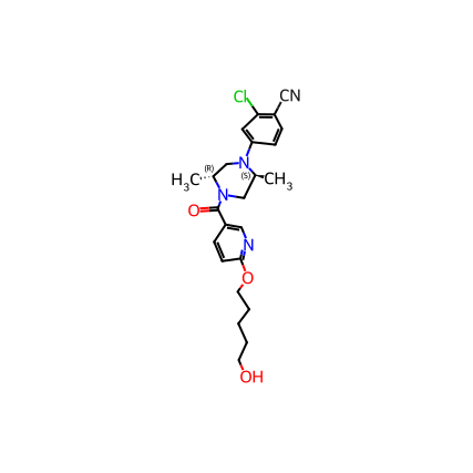 C[C@@H]1CN(c2ccc(C#N)c(Cl)c2)[C@@H](C)CN1C(=O)c1ccc(OCCCCCO)nc1